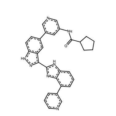 O=C(Nc1cncc(-c2ccc3[nH]nc(-c4nc5c(-c6cccnc6)cccc5[nH]4)c3c2)c1)C1CCCC1